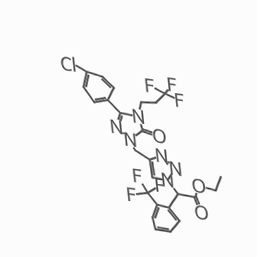 CCOC(=O)C(c1ccccc1C(F)(F)F)n1cc(Cn2nc(-c3ccc(Cl)cc3)n(CCC(F)(F)F)c2=O)nn1